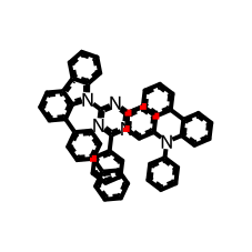 c1ccc(-c2ccc(-c3cccc4c5ccccc5n(-c5nc(-c6ccccc6)nc(-c6cccc(-c7ccccc7N(c7ccccc7)c7ccccc7)c6)n5)c34)cc2)cc1